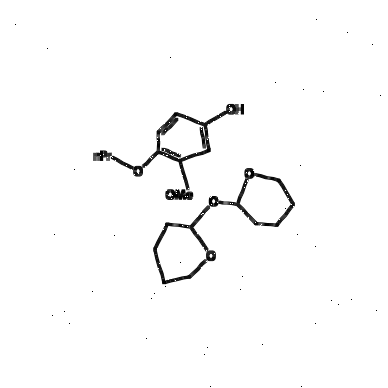 C1CCC(OC2CCCCO2)OC1.CCCOc1ccc(O)cc1OC